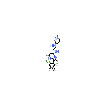 CCN1CCCC(NCCNc2cc(C)nc3c(-c4c(Cl)cc(OC)cc4Cl)c(C)nn23)C1